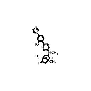 CN(c1ncc(-c2ccc(-n3ccnc3)cc2O)nn1)[C@@H]1C[C@]2(C)C[C@@](C)(CC2F)[C@H]1F